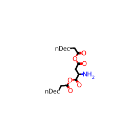 CCCCCCCCCCCC(=O)OC(=O)CC(N)C(=O)OC(=O)CCCCCCCCCCC